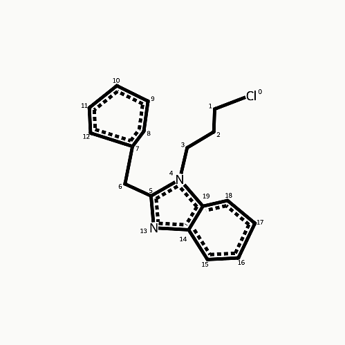 ClCCCn1c(Cc2ccccc2)nc2ccccc21